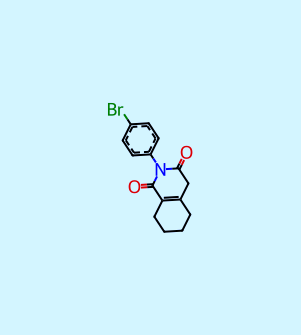 O=C1CC2=C(CCCC2)C(=O)N1c1ccc(Br)cc1